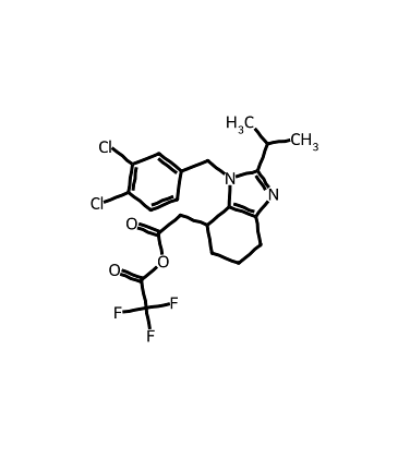 CC(C)c1nc2c(n1Cc1ccc(Cl)c(Cl)c1)C(CC(=O)OC(=O)C(F)(F)F)CCC2